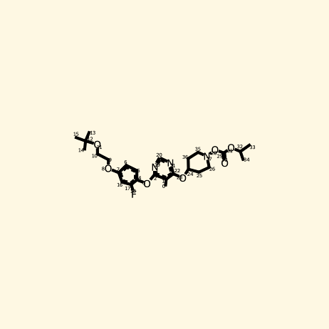 Cc1c(Oc2ccc(OCCOC(C)(C)C)cc2F)ncnc1OC1CCN(OC(=O)OC(C)C)CC1